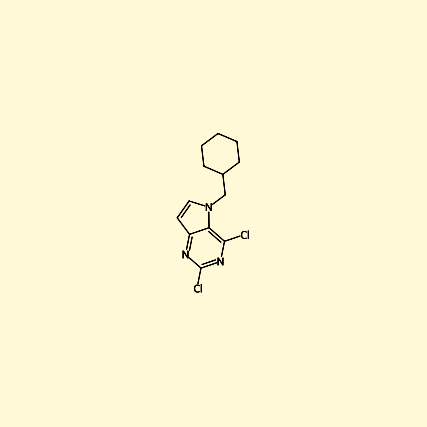 Clc1nc(Cl)c2c(ccn2CC2CCCCC2)n1